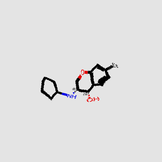 CCc1ccc2c(c1)OC[C@@H](NC1CCCC1)[C@H]2O